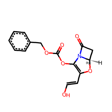 O=C(OCc1ccccc1)OC1=C(C=CO)O[C@@H]2CC(=O)N12